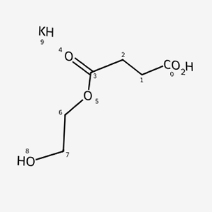 O=C(O)CCC(=O)OCCO.[KH]